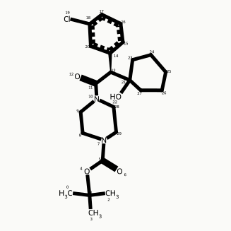 CC(C)(C)OC(=O)N1CCN(C(=O)[C@@H](c2cccc(Cl)c2)C2(O)CCCCC2)CC1